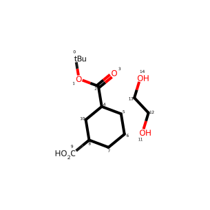 CC(C)(C)OC(=O)C1CCCC(C(=O)O)C1.OCCO